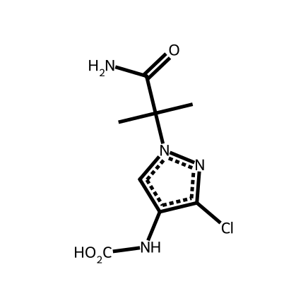 CC(C)(C(N)=O)n1cc(NC(=O)O)c(Cl)n1